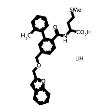 CSCCC(NC(=O)c1ccc(COCc2cc3ccccc3o2)cc1-c1ccccc1C)C(=O)O.[LiH]